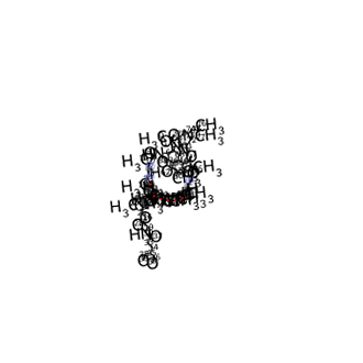 COC(=O)N1C2=C3NC(=O)/C(C)=C\C=C\[C@H](C)[C@H](OC(=O)CN(C)CCOC(=O)CNC(=O)CCC(C=O)C=O)[C@@H](C)[C@@H](O)[C@@H](C)[C@H](C)[C@H](C)[C@@H](C)/C=C/O[C@@]4(C)Oc5c(C)c(O)c(c(c5C4=O)C2=NC12CCN(CC(C)C)CC2)C3=O